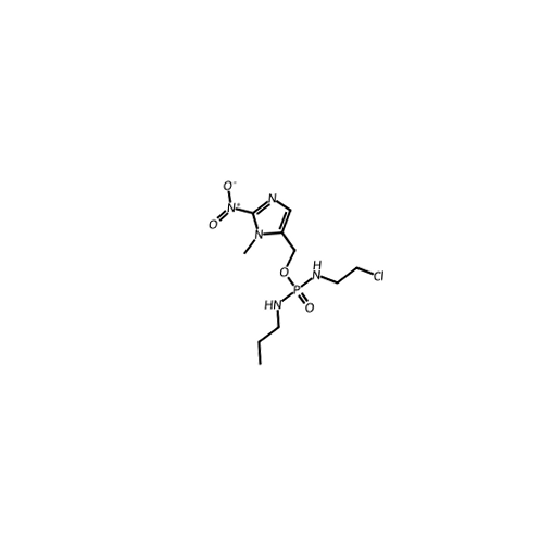 CCCNP(=O)(NCCCl)OCc1cnc([N+](=O)[O-])n1C